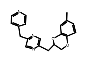 Cc1ccc2c(c1)OC(Cc1cnc(Cc3ccncc3)cn1)CO2